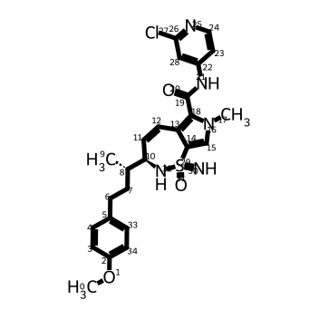 COc1ccc(CC[C@H](C)[C@H]2C=Cc3c(cn(C)c3C(=O)Nc3ccnc(Cl)c3)S(=N)(=O)N2)cc1